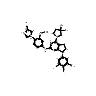 COc1cc(Nc2nc3c(c(N4CCC(F)(F)C4)n2)CC[C@@H]3c2cc(F)c(F)c(F)c2)ccc1-n1cnc(Cl)c1